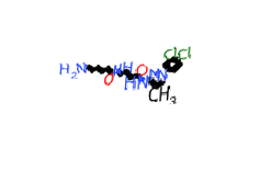 CC1CN(c2ccc(Cl)c(Cl)c2)N=C1NC(=O)CCCNC(=O)CCCCCN